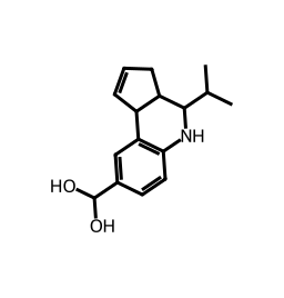 CC(C)C1Nc2ccc(C(O)O)cc2C2C=CCC21